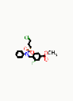 COC(=O)c1ccc(CN(c2ccccc2)S(=O)(=O)CCCCl)c(F)c1